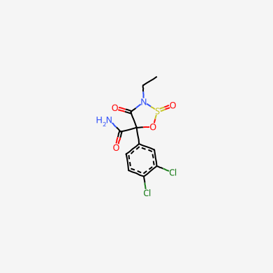 CCN1C(=O)C(C(N)=O)(c2ccc(Cl)c(Cl)c2)OS1=O